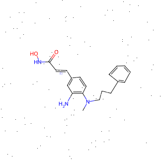 CN(CCCc1ccccc1)c1ccc(/C=C/C(=O)NO)cc1N